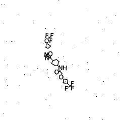 O=C(CO[C@H]1C[C@H](C(F)(F)F)C1)N[C@H]1CC[C@H](c2nnc([C@H]3C[C@@H](OC(F)(F)F)C3)o2)CC1